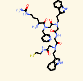 NC(=O)NCCCC(N)C(=O)N(CC(=O)N(CCc1c[nH]c2ccccc12)CC(=O)NCC(=O)N(CCc1c[nH]c2ccccc12)CC(=O)NCCS)Cc1cccnc1